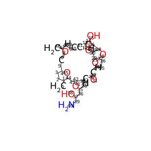 C=C1CCC2CCC3O[C@@H](CC[C@]45CC(O)C(O4)C4C[C@@H](O5)C5O[C@H](CCC5O4)CC(=O)C[C@@H]4C[C@@H](CC(O)CN)OC4CC1O2)CC3=C